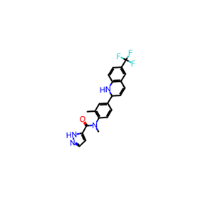 Cc1cc(C2C=Cc3cc(C(F)(F)F)ccc3N2)ccc1N(C)C(=O)c1ccn[nH]1